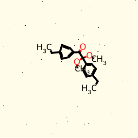 CCc1ccc(C(=O)C(OC)(OC)c2ccc(CC)cc2)cc1